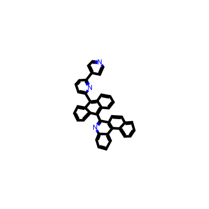 c1cc(-c2ccncc2)nc(-c2c3ccccc3c(-c3nc4ccccc4c4c3ccc3ccccc34)c3ccccc23)c1